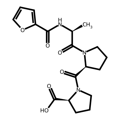 C[C@H](NC(=O)c1ccco1)C(=O)N1CCC[C@H]1C(=O)N1CCC[C@H]1C(=O)O